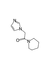 O=C(Cn1ccnc1)N1CCCCC1